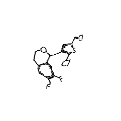 O=Cc1cc(C2OCCc3cc(F)c(F)cc32)c(Cl)s1